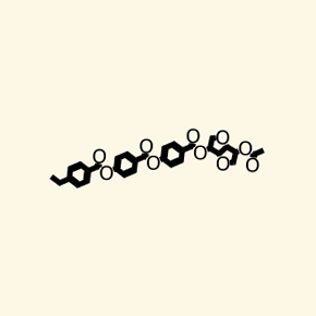 CCc1ccc(C(=O)Oc2ccc(C(=O)Oc3ccc(C(=O)OC4COC5C(OC(C)=O)COC45)cc3)cc2)cc1